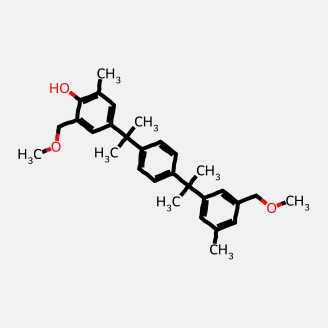 COCc1cc(C)cc(C(C)(C)c2ccc(C(C)(C)c3cc(C)c(O)c(COC)c3)cc2)c1